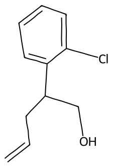 C=CCC(CO)c1ccccc1Cl